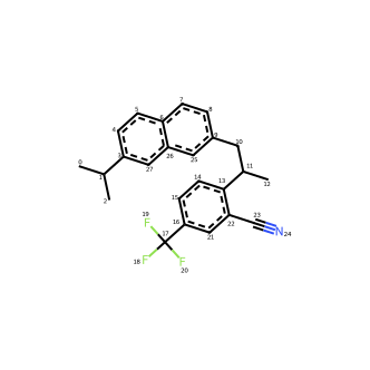 CC(C)c1ccc2ccc(CC(C)c3ccc(C(F)(F)F)cc3C#N)cc2c1